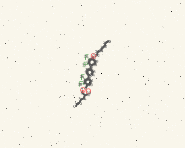 C/C=C/CCC1COC(c2ccc(-c3ccc(-c4ccc(OCCCCCCC)c(F)c4F)cc3)c(F)c2F)OC1